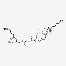 CCCCCCCCCCCCCC(=O)OC(CN)COC(=O)CCC(=O)O[C@H]1CC[C@H](C)[C@H]2CC[C@]3(C)[C@@H](CCCCC(C)C)CC[C@H]3[C@@H]2C/C=C(\C)C1